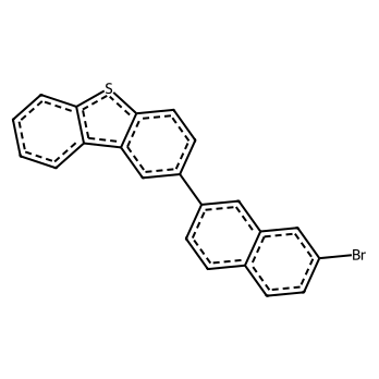 Brc1ccc2ccc(-c3ccc4sc5ccccc5c4c3)cc2c1